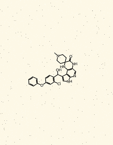 CN1CCC2(CC1)Nc1c(cnc3[nH]cc(C(O)c4ccc(Oc5ccccc5)cc4Cl)c13)NC2=O